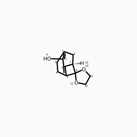 OC1=C2CCC3=C1[C@@H](C2)C31OCCO1